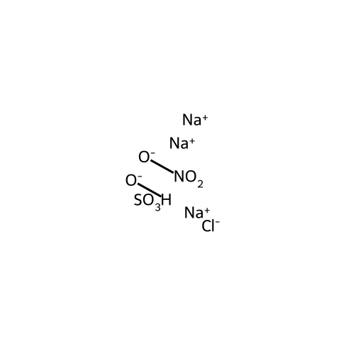 O=S(=O)([O-])O.O=[N+]([O-])[O-].[Cl-].[Na+].[Na+].[Na+]